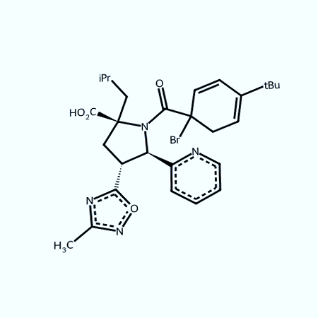 Cc1noc([C@@H]2C[C@@](CC(C)C)(C(=O)O)N(C(=O)C3(Br)C=CC(C(C)(C)C)=CC3)[C@H]2c2ccccn2)n1